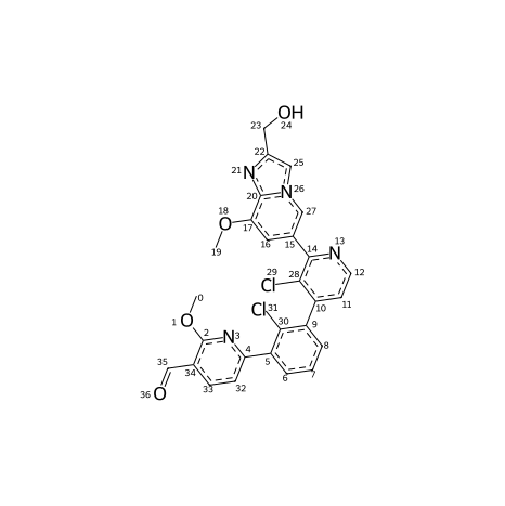 COc1nc(-c2cccc(-c3ccnc(-c4cc(OC)c5nc(CO)cn5c4)c3Cl)c2Cl)ccc1C=O